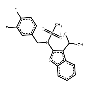 CC(O)c1c(N(Cc2ccc(F)c(F)c2)S(C)(=O)=O)sc2ccccc12